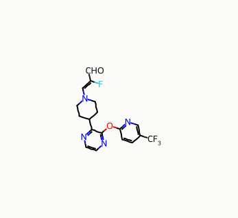 O=CC(F)=CN1CCC(c2nccnc2Oc2ccc(C(F)(F)F)cn2)CC1